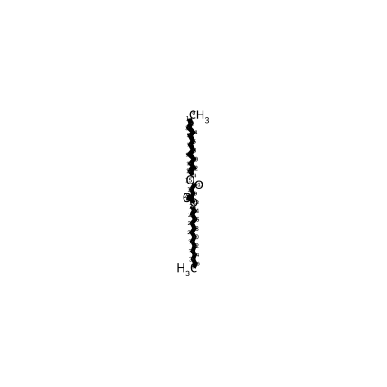 CCCCCCCCCCCC/C=C/COC(=O)CCC(=O)OC/C=C/CCCCCCCCCCCC